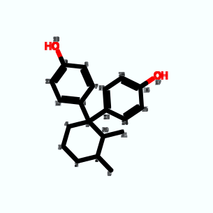 CC1CCCC(c2ccc(O)cc2)(c2ccc(O)cc2)C1C